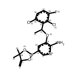 C=C1OB(c2cnc(N)c(OC(C)c3c(Cl)ccc(F)c3Cl)c2)OC1(C)C